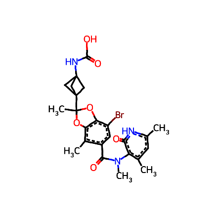 Cc1cc(C)c(N(C)C(=O)c2cc(Br)c3c(c2C)OC(C)(C24CC(NC(=O)O)(C2)C4)O3)c(=O)[nH]1